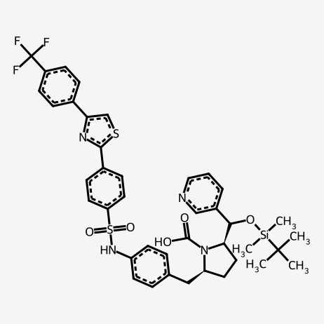 CC(C)(C)[Si](C)(C)OC(c1cccnc1)[C@H]1CC[C@@H](Cc2ccc(NS(=O)(=O)c3ccc(-c4nc(-c5ccc(C(F)(F)F)cc5)cs4)cc3)cc2)N1C(=O)O